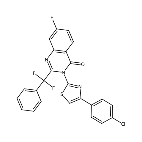 O=c1c2ccc(F)cc2nc(C(F)(F)c2ccccc2)n1-c1nc(-c2ccc(Cl)cc2)cs1